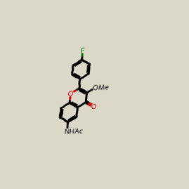 COc1c(-c2ccc(F)cc2)oc2ccc(NC(C)=O)cc2c1=O